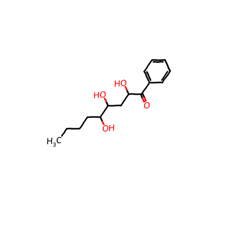 CCCCC(O)C(O)CC(O)C(=O)c1ccccc1